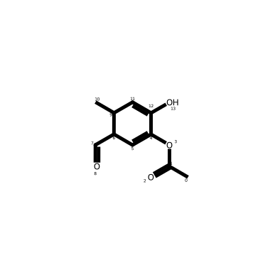 CC(=O)OC1=CC(C=O)C(C)C=C1O